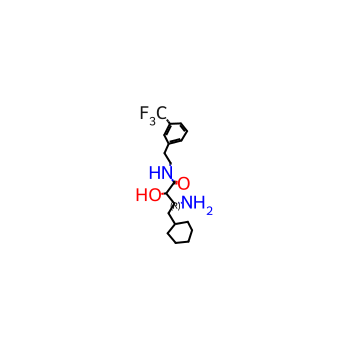 N[C@H](CC1CCCCC1)C(O)C(=O)NCCc1cccc(C(F)(F)F)c1